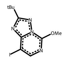 COc1ncc(I)c2nc(C(C)(C)C)nn12